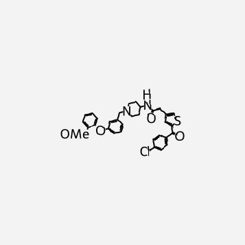 COc1ccccc1Oc1cccc(CN2CCC(NC(=O)Cc3csc(C(=O)c4ccc(Cl)cc4)c3)CC2)c1